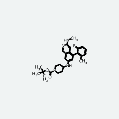 CNc1cc2c(-c3c(C)cccc3F)cc(NC3CCN(C(=O)OC(C)(C)C)CC3)cc2cn1